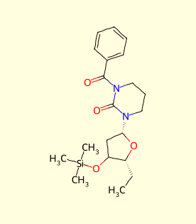 CC[C@H]1O[C@@H](N2CCCN(C(=O)c3ccccc3)C2=O)CC1O[Si](C)(C)C